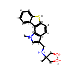 Cn1cc(CNC(C)(CO)CO)c2ccc3sc4ccccc4c3c21